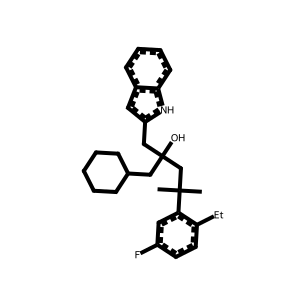 CCc1ccc(F)cc1C(C)(C)CC(O)(Cc1cc2ccccc2[nH]1)CC1CCCCC1